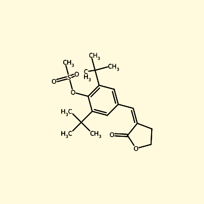 CC(C)(C)c1cc(C=C2CCOC2=O)cc(C(C)(C)C)c1OS(C)(=O)=O